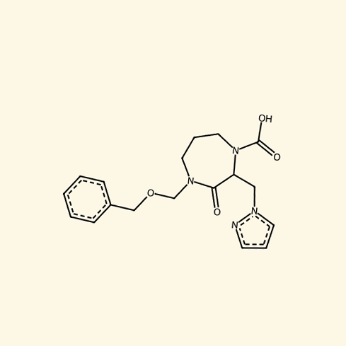 O=C1C(Cn2cccn2)N(C(=O)O)CCCN1COCc1ccccc1